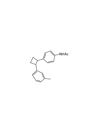 CC(=O)Nc1ccc(C2CCC2c2cccc(C)c2)cc1